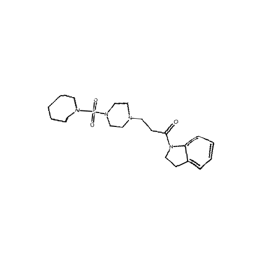 O=C(CCN1CCN(S(=O)(=O)N2CCCCC2)CC1)N1CCc2ccccc21